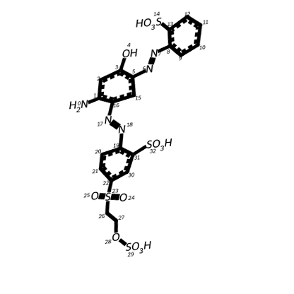 Nc1cc(O)c(/N=N/c2ccccc2S(=O)(=O)O)cc1/N=N/c1ccc(S(=O)(=O)CCOS(=O)(=O)O)cc1S(=O)(=O)O